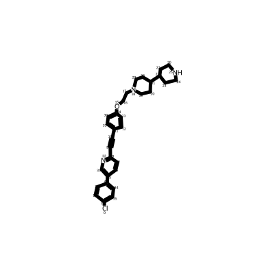 Clc1ccc(-c2ccc(C#Cc3ccc(OCCN4CCC(C5CCNCC5)CC4)cc3)nc2)cc1